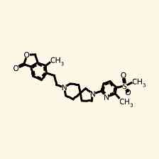 Cc1nc(N2CCC3(CCN(CCc4ccc5c(c4C)COC5=O)CC3)C2)ccc1S(C)(=O)=O